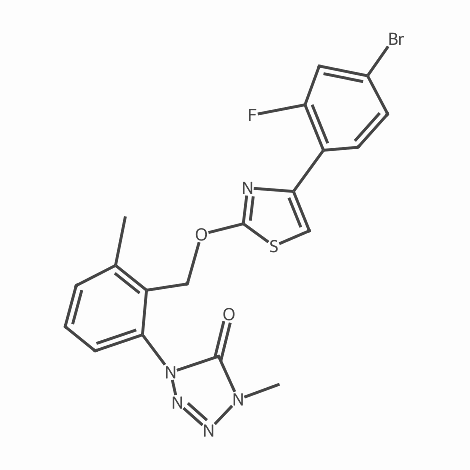 Cc1cccc(-n2nnn(C)c2=O)c1COc1nc(-c2ccc(Br)cc2F)cs1